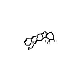 CC(C)C[N@@+]12C=C3C[C@H]4C(=NC5=C4C(=O)C(=O)CC5)CN3C=C1C=CCC2